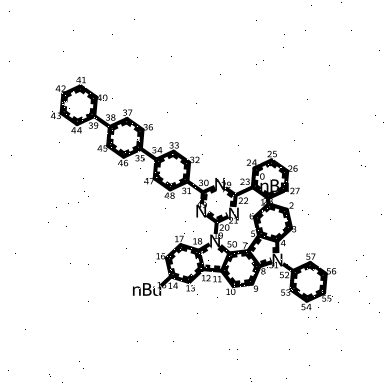 CCCCc1ccc2c(c1)c1c(ccc3c4cc(CCCC)ccc4n(-c4nc(-c5ccccc5)nc(-c5ccc(-c6ccc(-c7ccccc7)cc6)cc5)n4)c31)n2-c1ccccc1